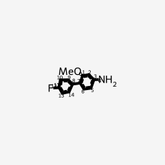 COc1cc(N)ccc1-c1ccc(F)cc1